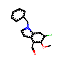 COc1c(Cl)cc2c(ccn2Cc2ccccc2)c1C=O